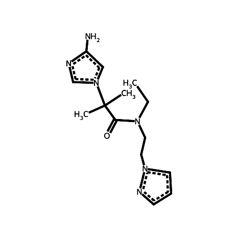 CCN(CCn1cccn1)C(=O)C(C)(C)n1cnc(N)c1